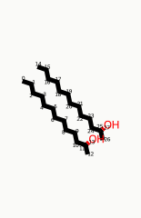 CCCCCCCCCCCC(C)O.CCCCCCCCCCCC(C)O